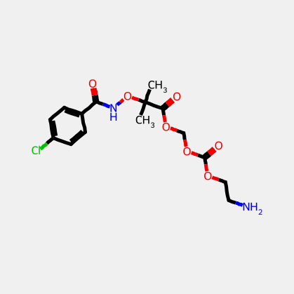 CC(C)(ONC(=O)c1ccc(Cl)cc1)C(=O)OCOC(=O)OCCN